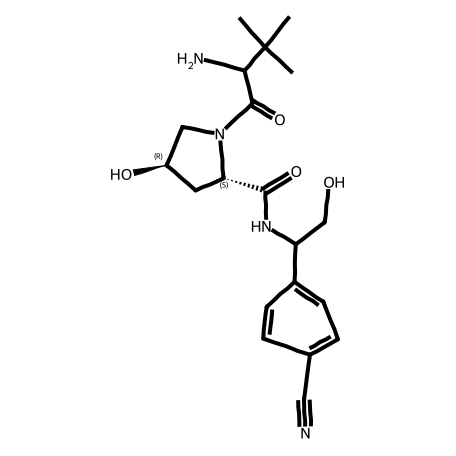 CC(C)(C)C(N)C(=O)N1C[C@H](O)C[C@H]1C(=O)NC(CO)c1ccc(C#N)cc1